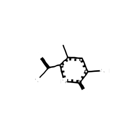 Cc1cc(N)c(=O)[nH]c1C(N)=O